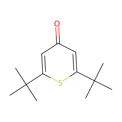 CC(C)(C)c1cc(=O)cc(C(C)(C)C)s1